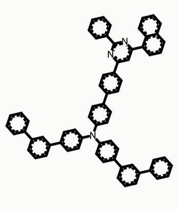 c1ccc(-c2cccc(-c3ccc(N(c4ccc(-c5ccc(-c6cc(-c7cccc8ccccc78)nc(-c7ccccc7)n6)cc5)cc4)c4ccc(-c5cccc(-c6ccccc6)c5)cc4)cc3)c2)cc1